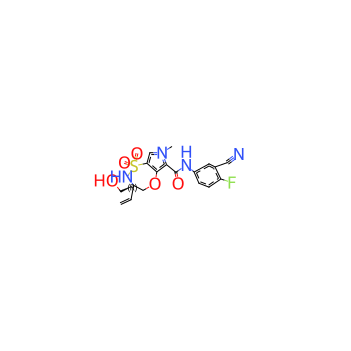 C=C[C@@]1(CO)COc2c(cn(C)c2C(=O)Nc2ccc(F)c(C#N)c2)S(=O)(=O)N1